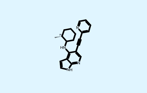 C[C@@H]1CCCCC1Nc1c(C#Cc2ccccn2)cnc2[nH]ccc12